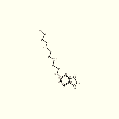 CCCCOCCOCC[CH]c1ccc2c(c1)OCO2